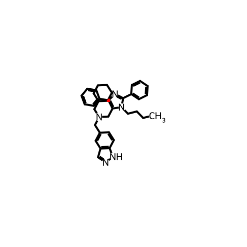 CCCCn1c(-c2ccccc2)nc(-c2ccccc2)c1CN(Cc1ccc2[nH]ncc2c1)CC1CCCCC1